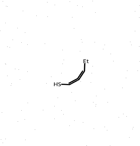 CCC=C=CS